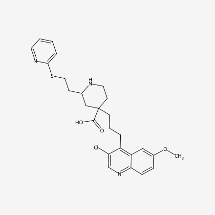 COc1ccc2ncc(Cl)c(CCCC3(C(=O)O)CCNC(CCSc4ccccn4)C3)c2c1